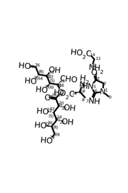 CN1CC(=O)NC1=N.C[C@H](N)C(=O)O.NCC(=O)O.O=C[C@H](OC(=O)[C@H](O)[C@@H](O)[C@H](O)[C@H](O)CO)[C@@H](O)[C@H](O)[C@H](O)CO